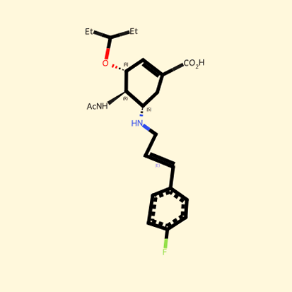 CCC(CC)O[C@@H]1C=C(C(=O)O)C[C@H](NC/C=C/c2ccc(F)cc2)[C@H]1NC(C)=O